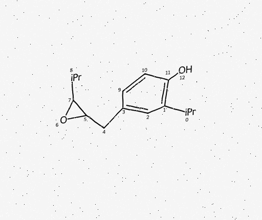 CC(C)c1cc(CC2OC2C(C)C)ccc1O